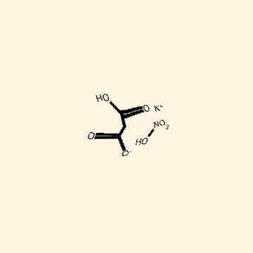 O=C([O-])C(=O)O.O=[N+]([O-])O.[K+]